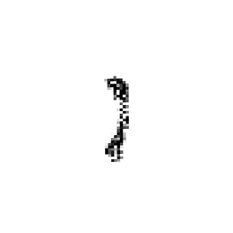 O=C(CCCCCCOCCCCN1CCN(c2cccc3sccc23)CC1)Oc1ccc2ccccc2n1